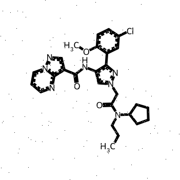 CCCN(C(=O)Cn1cc(NC(=O)c2cnn3cccnc23)c(-c2cc(Cl)ccc2OC)n1)C1CCCC1